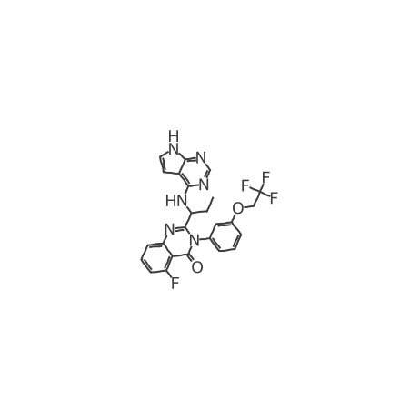 CCC(Nc1ncnc2[nH]ccc12)c1nc2cccc(F)c2c(=O)n1-c1cccc(OCC(F)(F)F)c1